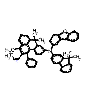 C/C=C\c1c(-c2ccccc2)c2c3c(cccc3c1C)C(C)(C)c1cc(N(c3ccc4c(c3)C(C)(C)c3ccccc3-4)c3ccc4oc5ccccc5c4c3)ccc1-2